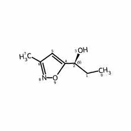 CC[C@H](O)c1cc(C)no1